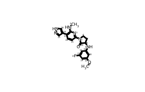 CNc1nc(N2CCC(Nc3cc(F)cc(OC)c3)C2=O)ccc1-c1cn[nH]c1